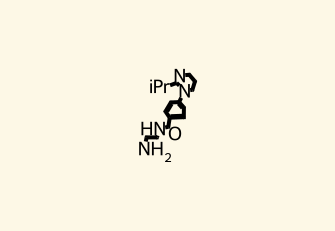 CC(C)C1=NCCCN1c1ccc(C(=O)NCCN)cc1